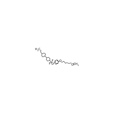 CCCC1CCC(C2CCC(C(F)(F)Oc3ccc(OCCCCCCOC)cc3)CC2)CC1